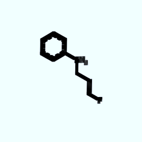 FC=CC[SiH2]c1ccccc1